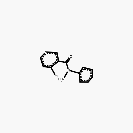 NN(C(=O)c1cnccc1Cl)c1ccccc1